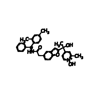 Cc1ccc([C@@H](NC(=O)Cc2ccc3oc(C(C)(O)c4cc[n+](O)c(C)c4)cc3c2)c2ccccc2)c(C)c1